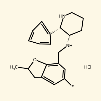 CC1Cc2cc(F)cc(CN[C@H]3CCCN[C@H]3c3ccccc3)c2O1.Cl